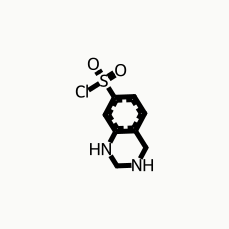 O=S(=O)(Cl)c1ccc2c(c1)NCNC2